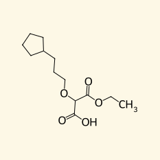 CCOC(=O)C(OCCCC1CCCC1)C(=O)O